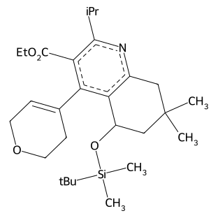 CCOC(=O)c1c(C(C)C)nc2c(c1C1=CCOCC1)C(O[Si](C)(C)C(C)(C)C)CC(C)(C)C2